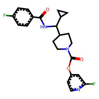 O=C(NC(C1CC1)C1CCN(C(=O)Oc2ccnc(F)c2)CC1)c1ccc(F)cc1